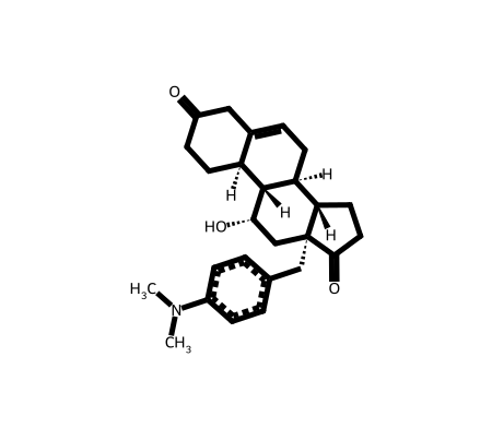 CN(C)c1ccc(C[C@]23C[C@H](O)[C@H]4[C@@H](CC=C5CC(=O)CC[C@@H]54)[C@@H]2CCC3=O)cc1